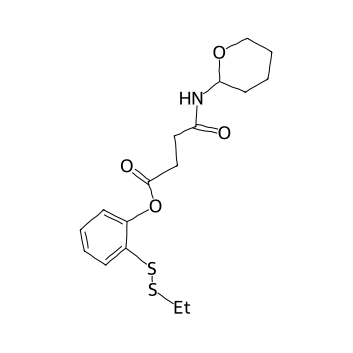 CCSSc1ccccc1OC(=O)CCC(=O)NC1CCCCO1